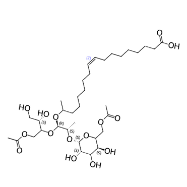 CC(=O)OCC1O[C@@H](O[C@@H](C)[C@H](OC(C)CCCCCC/C=C\CCCCCCCC(=O)O)OC(COC(C)=O)[C@@H](O)CO)[C@@H](O)C(O)[C@@H]1O